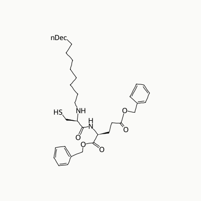 CCCCCCCCCCCCCCCCCCN[C@H](CS)C(=O)N[C@@H](CCC(=O)OCc1ccccc1)C(=O)OCc1ccccc1